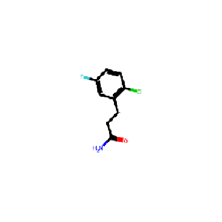 NC(=O)C[CH]c1cc(F)ccc1Cl